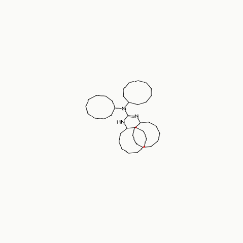 C1CCCCC(N=C(NC2CCCCCCCCC2)N(C2CCCCCCCCC2)C2CCCCCCCCC2)CCCC1